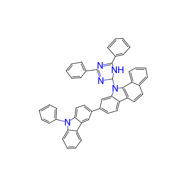 c1ccc(C2=NC(n3c4cc(-c5ccc6c(c5)c5ccccc5n6-c5ccccc5)ccc4c4ccc5ccccc5c43)NC(c3ccccc3)=N2)cc1